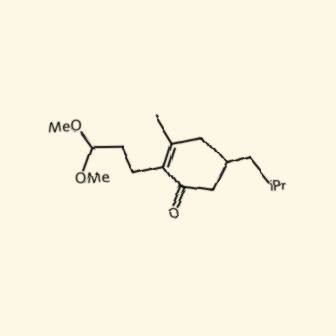 COC(CCC1=C(C)CC(CC(C)C)CC1=O)OC